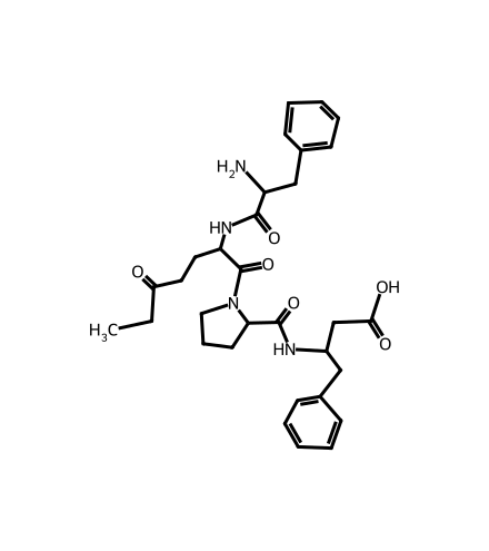 CCC(=O)CCC(NC(=O)C(N)Cc1ccccc1)C(=O)N1CCCC1C(=O)NC(CC(=O)O)Cc1ccccc1